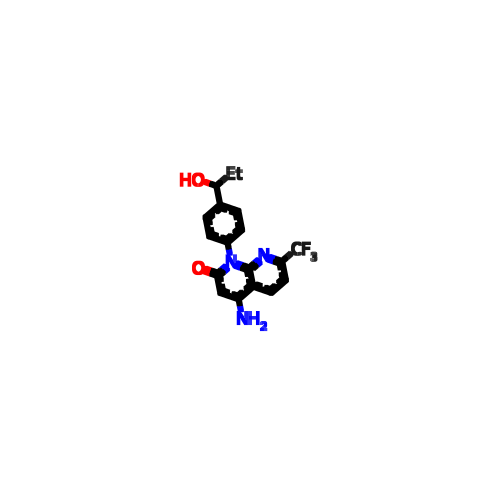 CCC(O)c1ccc(-n2c(=O)cc(N)c3ccc(C(F)(F)F)nc32)cc1